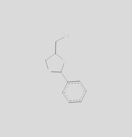 ClCC1COC(c2ccccc2)O1